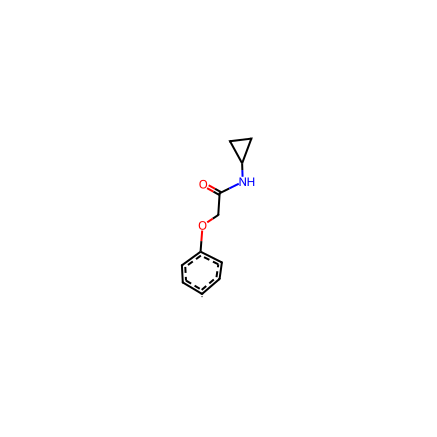 O=C(COc1cc[c]cc1)NC1CC1